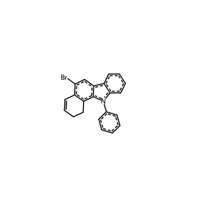 Brc1cc2c3ccccc3n(-c3ccccc3)c2c2c1C=CCC2